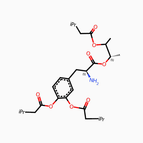 CC(C)CC(=O)Oc1ccc(C[C@H](N)C(=O)O[C@@H](C)C(C)OC(=O)CC(C)C)cc1OC(=O)CC(C)C